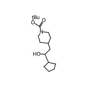 CC(C)(C)OC(=O)N1CCC(CC(O)C2CCCC2)CC1